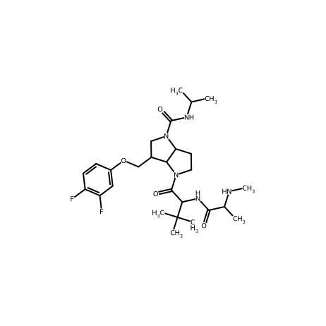 CNC(C)C(=O)NC(C(=O)N1CCC2C1C(COc1ccc(F)c(F)c1)CN2C(=O)NC(C)C)C(C)(C)C